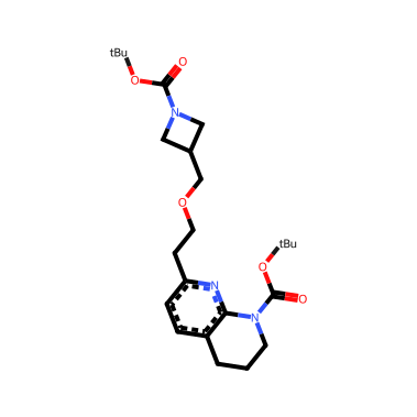 CC(C)(C)OC(=O)N1CC(COCCc2ccc3c(n2)N(C(=O)OC(C)(C)C)CCC3)C1